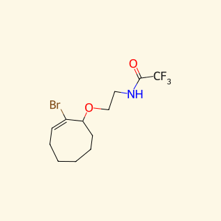 O=C(NCCOC1CCCCCC=C1Br)C(F)(F)F